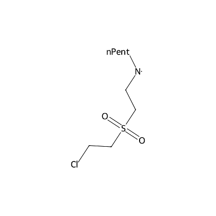 CCCCC[N]CCS(=O)(=O)CCCl